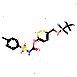 Cc1ccc(S(=O)(=O)NC(=O)OC2=CC=C(CO[Si](C)(C)C(C)(C)C)SS2)cc1